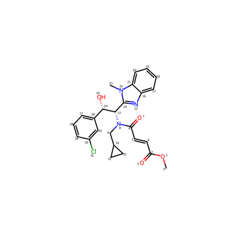 COC(=O)C=CC(=O)N(CC1CC1)[C@@H](c1nc2ccccc2n1C)[C@@H](O)c1cccc(Cl)c1